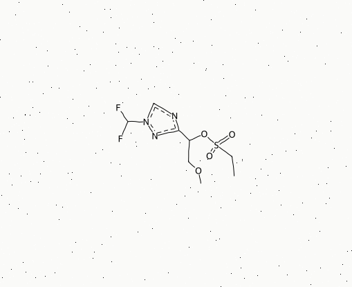 CCS(=O)(=O)OC(COC)c1ncn(C(F)F)n1